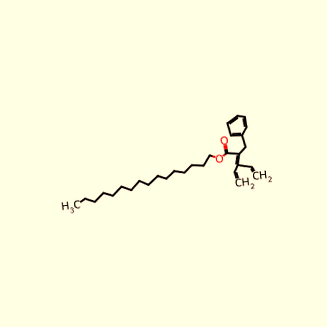 C=CC(C=C)=C(Cc1ccccc1)C(=O)OCCCCCCCCCCCCCCCC